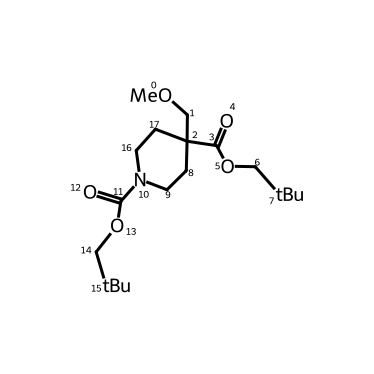 COCC1(C(=O)OCC(C)(C)C)CCN(C(=O)OCC(C)(C)C)CC1